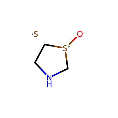 [O-][S+]1CCNC1.[S]